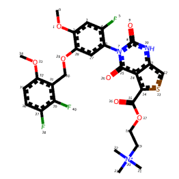 COc1cc(F)c(-n2c(=O)[nH]c3csc(C(=O)OCC[N+](C)(C)C)c3c2=O)cc1OCc1c(OC)ccc(F)c1F